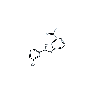 NC(=O)c1cccc2oc(-c3cccc([N+](=O)[O-])c3)nc12